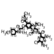 CCNC(=O)c1cc2c(cc1OCC(=O)NC1CCN(C)CC1)n(CC)c(CNC(=O)c1nc(Cl)c(N)nc1N)[n+]2CC